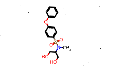 CN(C(CO)CO)S(=O)(=O)c1ccc(Oc2ccccc2)cc1